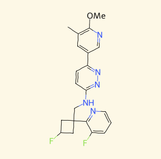 COc1ncc(-c2ccc(NCC3(c4ncccc4F)CC(F)C3)nn2)cc1C